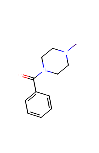 O=C(c1ccccc1)N1CCN(I)CC1